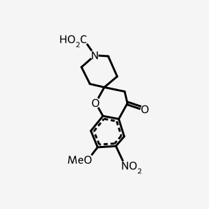 COc1cc2c(cc1[N+](=O)[O-])C(=O)CC1(CCN(C(=O)O)CC1)O2